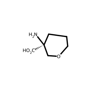 N[C@@]1(C(=O)O)CCCOC1